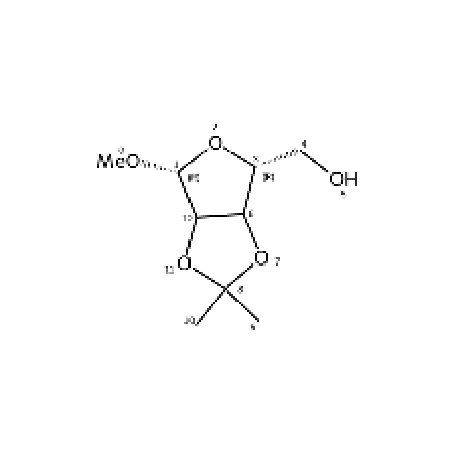 CO[C@@H]1O[C@H](CO)C2OC(C)(C)OC21